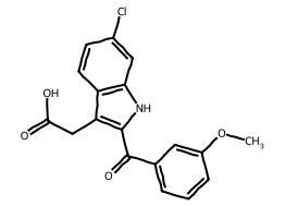 COc1cccc(C(=O)c2[nH]c3cc(Cl)ccc3c2CC(=O)O)c1